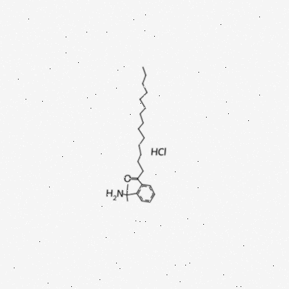 CCCCCCCCCCCCCCC(=O)c1ccccc1C(C)(C)N.Cl